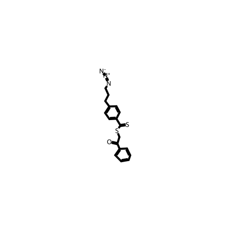 [N-]=[N+]=NCCCc1ccc(C(=S)SCC(=O)c2ccccc2)cc1